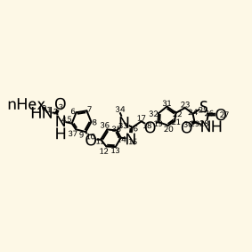 CCCCCCNC(=O)Nc1cccc(Oc2ccc3nc(COc4ccc(CC5SC(=O)NC5=O)cc4)n(C)c3c2)c1